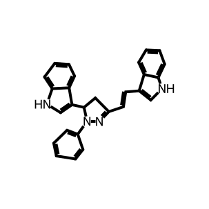 C(=Cc1c[nH]c2ccccc12)C1=NN(c2ccccc2)C(c2c[nH]c3ccccc23)C1